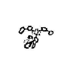 c1ccc(-c2cccc(-c3nc(-c4cccc(-c5ccccc5)c4)nc(-c4ccc5c(c4)C4(c6ccccc6Oc6ccccc64)c4ccccc4-5)n3)c2)cc1